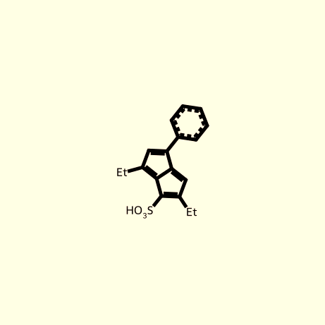 CCC1=C2C(=CC(CC)=C2S(=O)(=O)O)C(c2ccccc2)=C1